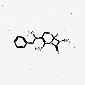 CC(=O)OC(Cc1ccccc1)C1=C(C(=O)O)N2C(=O)[C@H](N)[C@H]2SC1